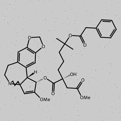 COC(=O)C[C@](O)(CCCC(C)(C)OC(=O)Cc1ccccc1)C(=O)O[C@@H]1C(OC)=C[C@]23CCCN2CCc2cc4c(cc2[C@H]13)OCO4